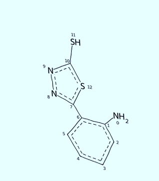 Nc1ccccc1-c1nnc(S)s1